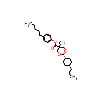 CCCCCc1ccc(OC(=O)C2(C)COC([C@H]3CC[C@H](CCC)CC3)OC2)cc1